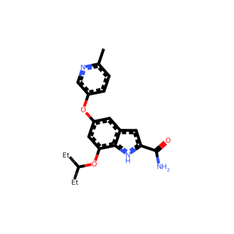 CCC(CC)Oc1cc(Oc2ccc(C)nc2)cc2cc(C(N)=O)[nH]c12